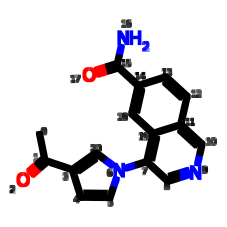 CC(=O)c1ccn(-c2cncc3ccc(C(N)=O)cc23)c1